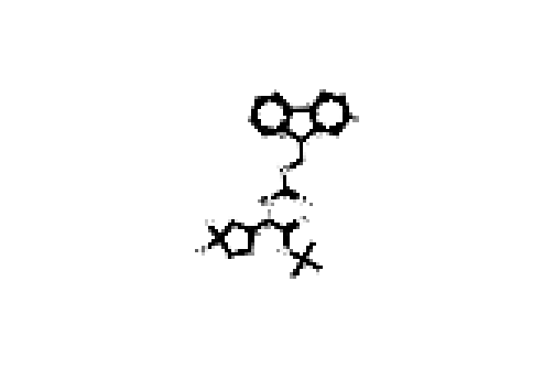 CC(C)(C)OC(=O)[C@@H](NC(=O)OCC1c2ccccc2-c2ccccc21)C1CCC(F)(F)C1